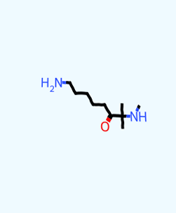 CNC(C)(C)C(=O)CCCCCN